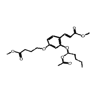 CCCCC(OC(C)=O)Oc1cc(OCCCC(=O)OC)ccc1C=CC(=O)OC